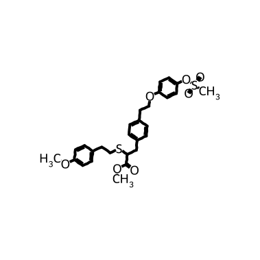 COC(=O)C(Cc1ccc(CCOc2ccc(OS(C)(=O)=O)cc2)cc1)SCCc1ccc(OC)cc1